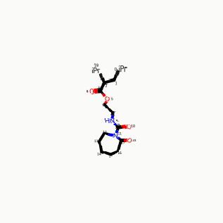 CC(C)CC(C(=O)OCCNC(=O)N1CCCCCC1=O)C(C)C